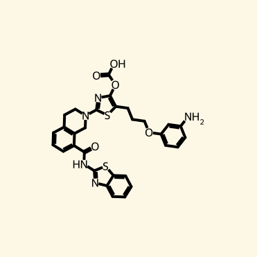 Nc1cccc(OCCCc2sc(N3CCc4cccc(C(=O)Nc5nc6ccccc6s5)c4C3)nc2OC(=O)O)c1